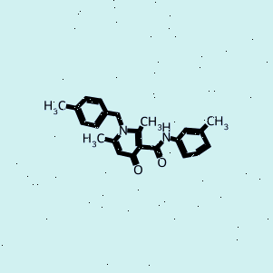 Cc1ccc(Cn2c(C)cc(=O)c(C(=O)Nc3cccc(C)c3)c2C)cc1